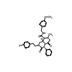 COc1ccc(CNC(=O)N2[C@H]3CN(CCc4ccc(F)cc4)C(=O)[C@H](c4ccccc4)N3C(=O)CN2C)cc1